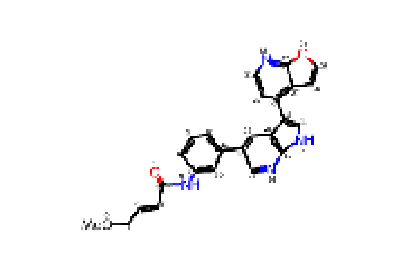 COCC=CC(=O)Nc1cccc(-c2cnc3[nH]cc(-c4ccnc5occc45)c3c2)c1